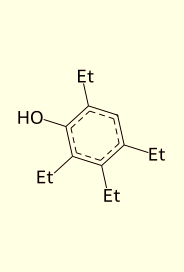 CCc1cc(CC)c(CC)c(CC)c1O